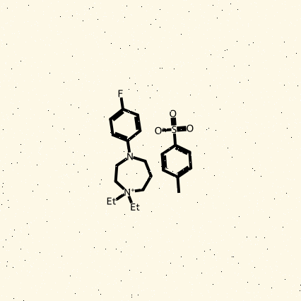 CC[N+]1(CC)CCCN(c2ccc(F)cc2)CC1.Cc1ccc(S(=O)(=O)[O-])cc1